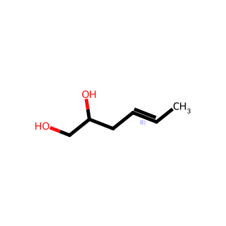 C/C=C/CC(O)CO